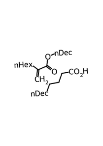 C=C(CCCCCC)C(=O)OCCCCCCCCCC.CCCCCCCCCCCCCC(=O)O